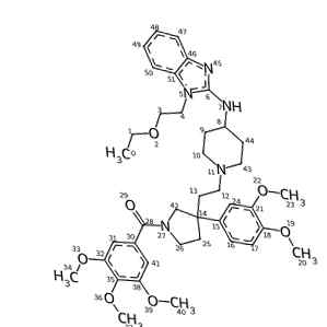 CCOCCn1c(NC2CCN(CCC3(c4ccc(OC)c(OC)c4)CCN(C(=O)c4cc(OC)c(OC)c(OC)c4)C3)CC2)nc2ccccc21